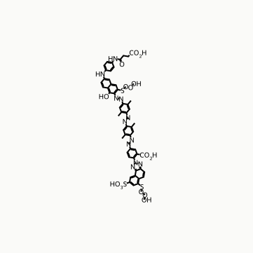 Cc1cc(N=Nc2cc(C)c(N=Nc3c(SOOO)cc4cc(Nc5ccc(NC(=O)CCC(=O)O)cc5)ccc4c3O)cc2C)c(C)cc1N=Nc1ccc(-n2nc3ccc4c(SOOO)cc(S(=O)(=O)O)cc4c3n2)c(C(=O)O)c1